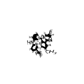 Cc1cnc(C(=O)N2CC3CCC2C(Nc2ccc(C(F)(F)F)cn2)C3)c(-c2ncc(F)cn2)c1